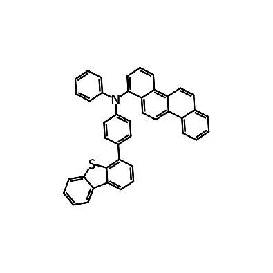 c1ccc(N(c2ccc(-c3cccc4c3sc3ccccc34)cc2)c2cccc3c2ccc2c4ccccc4ccc32)cc1